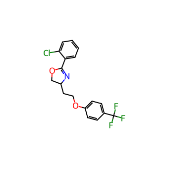 FC(F)(F)c1ccc(OCCC2COC(c3ccccc3Cl)=N2)cc1